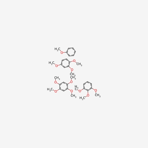 COc1cc(OC)c(OC)cc1OC.COc1ccc(OC)c(OC)c1.COc1cccc(OC)c1OC.COc1ccccc1